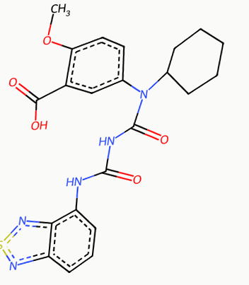 COc1ccc(N(C(=O)NC(=O)Nc2cccc3nsnc23)C2CCCCC2)cc1C(=O)O